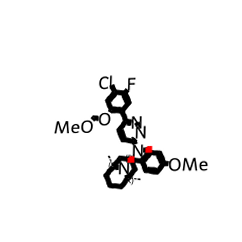 COCOc1cc(Cl)c(F)cc1-c1ccc(N(C)[C@@H]2C[C@]3(C)CCC[C@](C)(C2)N3Cc2ccc(OC)cc2)nn1